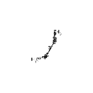 CC1CCC(CCC2CCC(c3ccc(OCCCCCCCCC(=O)CCCCCCCCOc4ccc(C5CCC(CCC6CCC(C)CC6)CC5)c(F)c4F)c(F)c3F)CC2)CC1